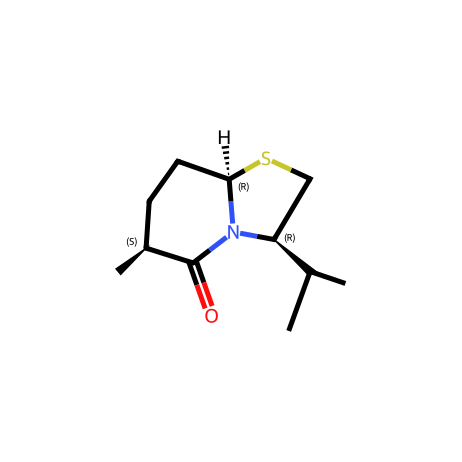 CC(C)[C@@H]1CS[C@@H]2CC[C@H](C)C(=O)N21